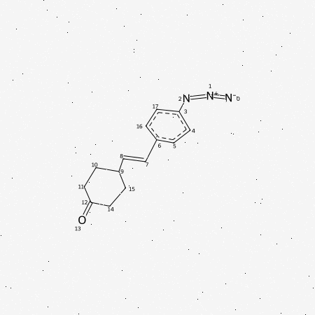 [N-]=[N+]=Nc1ccc(C=CC2CCC(=O)CC2)cc1